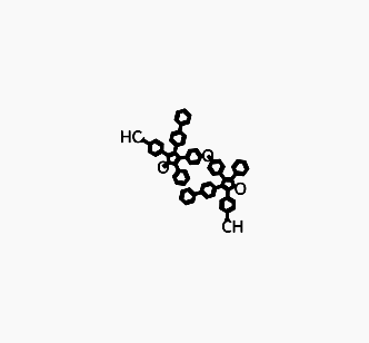 C#Cc1ccc(C2=C(c3ccc(-c4ccccc4)cc3)C(c3ccc(Oc4ccc(C5=C(c6ccccc6)C(=O)C(c6ccc(C#C)cc6)=C5c5ccc(-c6ccccc6)cc5)cc4)cc3)=C(c3ccccc3)C2=O)cc1